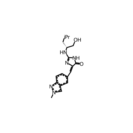 CC(C)C[C@H](CO)NC1=N/C(=C\c2ccc3nn(C)cc3c2)C(=O)N1